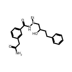 CCN(CC(O)[CH]Cc1ccccc1)NC(=O)c1cccc(CC(N)=O)c1